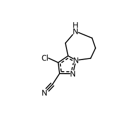 N#Cc1nn2c(c1Cl)CNCCC2